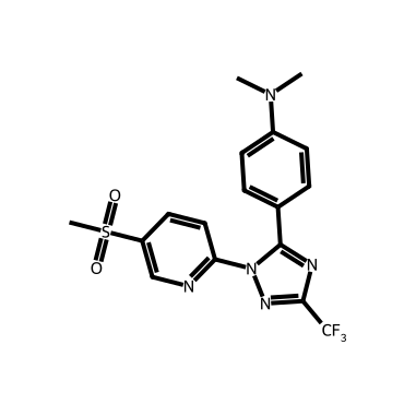 CN(C)c1ccc(-c2nc(C(F)(F)F)nn2-c2ccc(S(C)(=O)=O)cn2)cc1